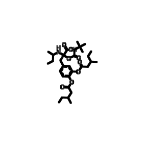 CCC(C)CC(=O)Oc1ccc(C[C@](NC(C)CC)(OC(=O)CC(C)(C)C)C(=O)O)cc1OC(=O)CC(C)CC